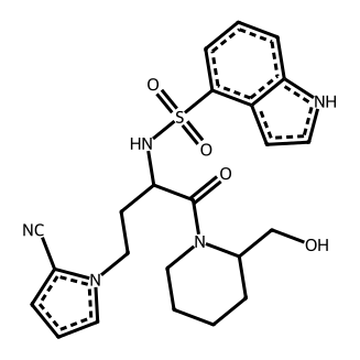 N#Cc1cccn1CCC(NS(=O)(=O)c1cccc2[nH]ccc12)C(=O)N1CCCCC1CO